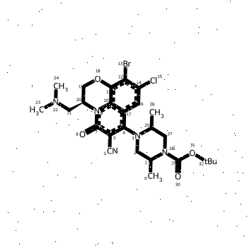 CC1CN(c2c(C#N)c(=O)n3c4c(c(Br)c(Cl)cc24)OC[C@@H]3CN(C)C)C(C)CN1C(=O)OC(C)(C)C